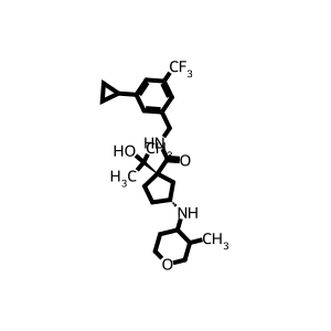 CC1COCCC1N[C@@H]1CC[C@@](C(=O)NCc2cc(C3CC3)cc(C(F)(F)F)c2)(C(C)(C)O)C1